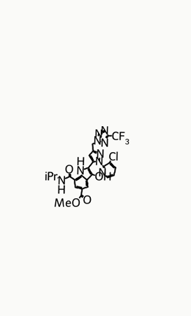 COC(=O)c1cc(C(=O)NC(C)C)c2[nH]c(-c3cc(Cn4nnc(C(F)(F)F)n4)nn3-c3ncccc3Cl)c(O)c2c1